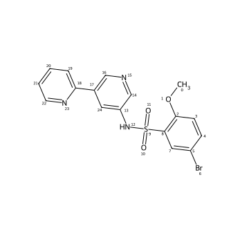 COc1ccc(Br)cc1S(=O)(=O)Nc1cncc(-c2ccccn2)c1